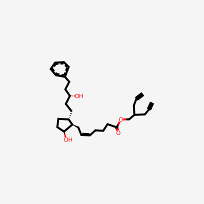 C#CCC(CC#C)COC(=O)CCC/C=C\C[C@@H]1[C@@H](CC[C@@H](O)CCc2ccccc2)CC[C@@H]1O